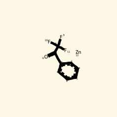 O=C(c1cc[c]cc1)C(F)(F)F.[Zn]